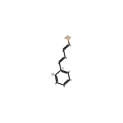 Br/C=C/C=C/c1ccccc1